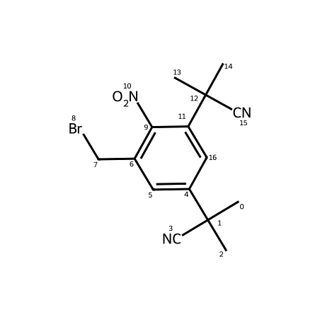 CC(C)(C#N)c1cc(CBr)c([N+](=O)[O-])c(C(C)(C)C#N)c1